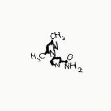 Cc1cc(C)n(-c2ccnc(C(N)=O)c2)n1